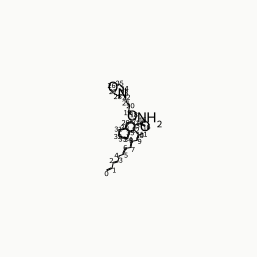 C=C/C=C/C/C=C/C=C/C=C(/C)c1c(C(N)=O)c(OCCCCN2CCOCC2)cc2ccccc12